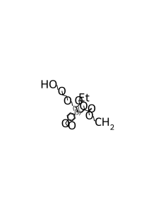 C=CCOC(=O)C1=C[C@H](c2ccc3c(c2)OCO3)[C@H](CCOCCOCCO)C(OCC)O1